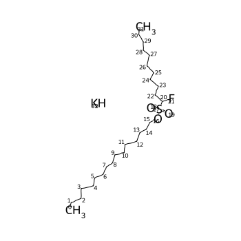 CCCCCCCCCCCCCCCCOS(=O)(=O)C(F)CCCCCCCCCC.[KH]